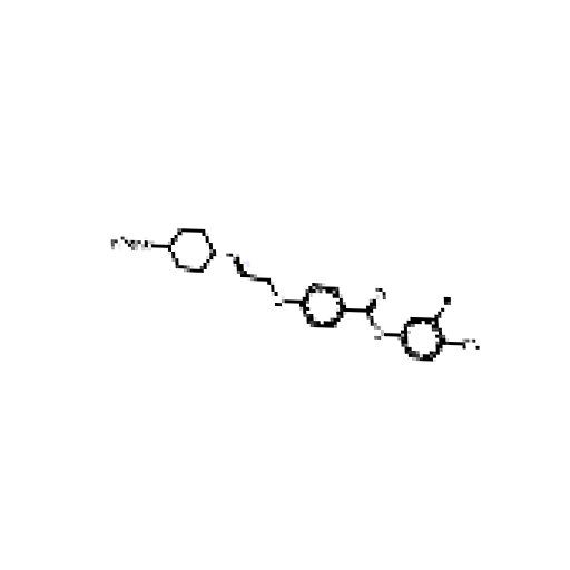 CCCCC[C@H]1CC[C@H](/C=C/COc2ccc(C(=O)Oc3ccc(C#N)c(F)c3)cc2)CC1